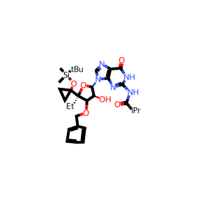 CC[C@]1(C2(O[Si](C)(C)C(C)(C)C)CC2)O[C@@H](n2cnc3c(=O)[nH]c(NC(=O)C(C)C)nc32)[C@@H](O)C1OCc1ccccc1